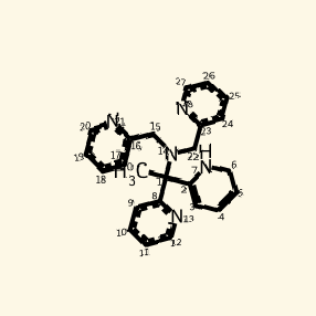 CC(C1=CC=CCN1)(c1ccccn1)N(Cc1ccccn1)Cc1ccccn1